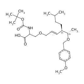 COc1ccc(CO[C@@H](C)[C@@H](/C=C/COCC(NC(=O)OC(C)(C)C)C(=O)O)CCC(C)C)cc1